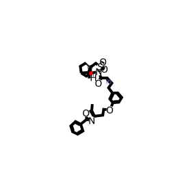 Cc1oc(-c2ccccc2)nc1CCOc1cccc(C/C=C\C(=O)N2[C@@H]3CC4CC[C@]3(CS2(=O)=O)C4(C)C)c1